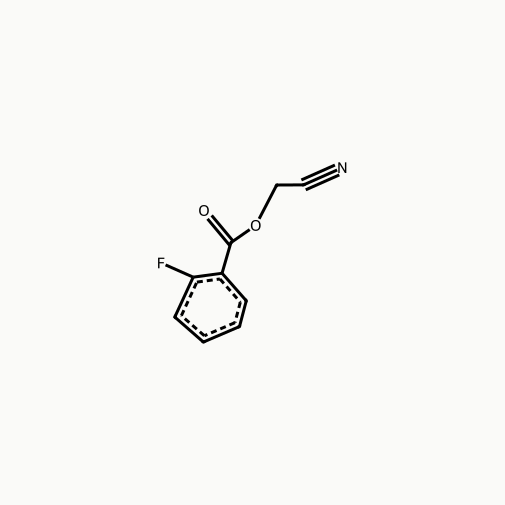 N#CCOC(=O)c1ccccc1F